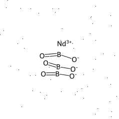 O=B[O-].O=B[O-].O=B[O-].[Nd+3]